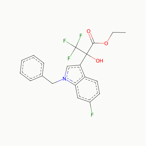 CCOC(=O)C(O)(c1cn(Cc2ccccc2)c2cc(F)ccc12)C(F)(F)F